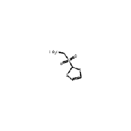 O=C(O)CS(=O)(=O)[C]1SC=CS1